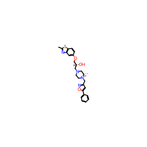 Cc1nc2cc(OC[C@H](O)CN3CCN(Cc4cc(-c5ccccc5)on4)[C@@H](C)C3)ccc2s1